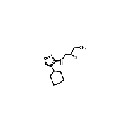 CCC(O)CNc1sccc1C1CCCCC1